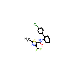 Cc1nc(C(F)F)c(C(=O)Nc2ccccc2-c2ccc(Cl)cc2)s1